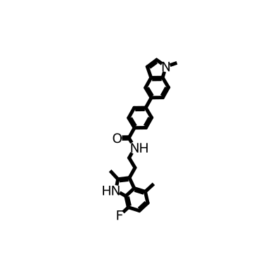 Cc1[nH]c2c(F)ccc(C)c2c1CCNC(=O)c1ccc(-c2ccc3c(ccn3C)c2)cc1